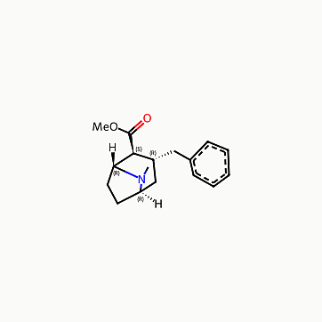 COC(=O)[C@H]1[C@H](Cc2ccccc2)C[C@H]2CC[C@H]1N2C